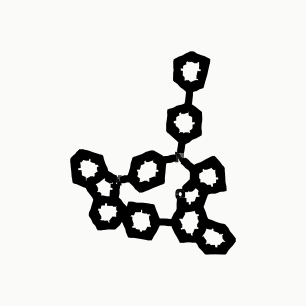 c1ccc(-c2ccc(N(c3ccc(-n4c5ccccc5c5ccccc54)cc3)c3cccc4c3oc3c(-c5ccccc5)cc5ccccc5c34)cc2)cc1